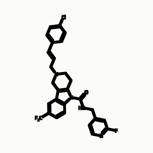 O=C(NCc1ccnc(F)c1)n1c2c(c3cc(C(F)(F)F)ccc31)CN(CC=Cc1ccc(Cl)cc1)CC2